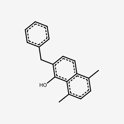 Cc1ccc(C)c2c(O)c(Cc3ccccc3)ccc12